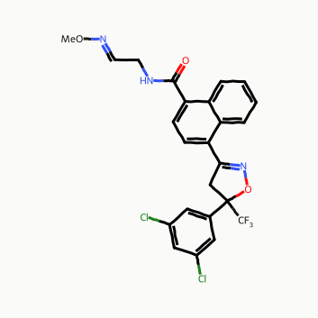 CON=CCNC(=O)c1ccc(C2=NOC(c3cc(Cl)cc(Cl)c3)(C(F)(F)F)C2)c2ccccc12